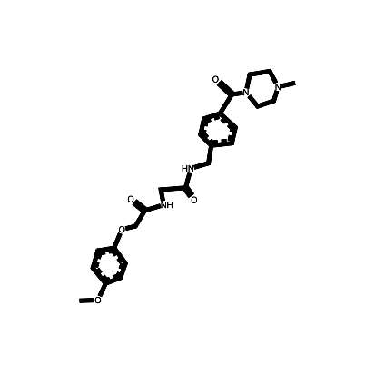 COc1ccc(OCC(=O)NCC(=O)NCc2ccc(C(=O)N3CCN(C)CC3)cc2)cc1